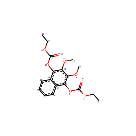 CCOC(=O)Oc1c(OC)c(OC)c(OC(=O)OCC)c2ccccc12